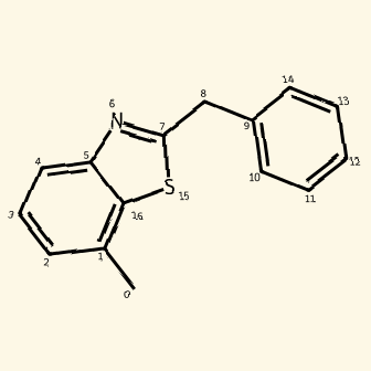 Cc1cccc2nc(Cc3ccccc3)sc12